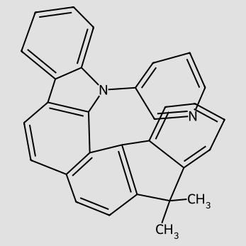 CC1(C)c2ccccc2-c2c1ccc1ccc3c4ccccc4n(-c4cccnc4)c3c21